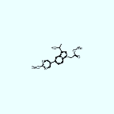 COc1ncc(-c2ccc3c(c2)c(C(C)O)cn3CC(=O)OC(C)(C)C)cn1